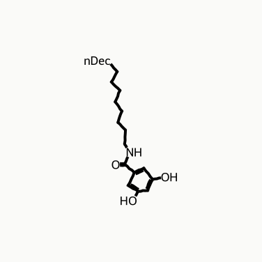 CCCCCCCCCCCCCCCCCCNC(=O)c1cc(O)cc(O)c1